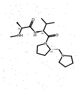 CN[C@@H](C)C(=O)N[C@H](C(=O)N1CCC[C@H]1CN1CCCC1)C(C)C